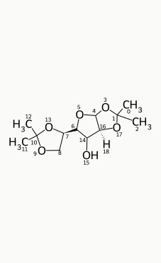 CC1(C)OC2OC([C@H]3COC(C)(C)O3)C(O)[C@@H]2O1